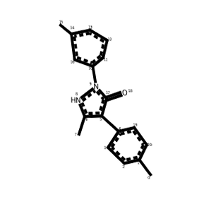 Cc1ccc(-c2c(C)[nH]n(-c3cccc(C)c3)c2=O)cc1